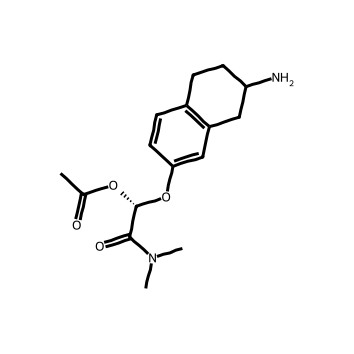 CC(=O)O[C@H](Oc1ccc2c(c1)CC(N)CC2)C(=O)N(C)C